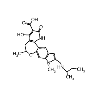 CCC(C)NCc1cc2cc3c(cc2n1C)OC(C)Cc1c-3[nH]c(=O)c(C(=O)O)c1O